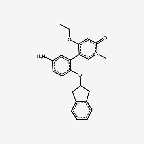 CCOc1cc(=O)n(C)cc1-c1cc(N)ccc1OC1Cc2ccccc2C1